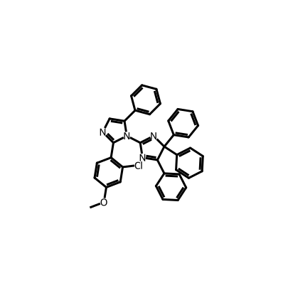 COc1ccc(-c2ncc(-c3ccccc3)n2C2=NC(c3ccccc3)(c3ccccc3)C(c3ccccc3)=N2)c(Cl)c1